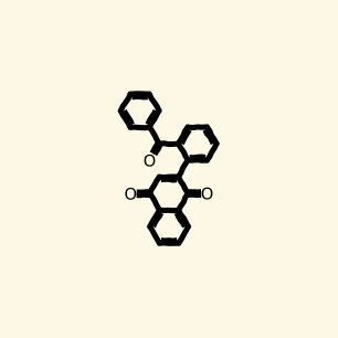 O=C1C=C(c2ccccc2C(=O)c2ccccc2)C(=O)c2ccccc21